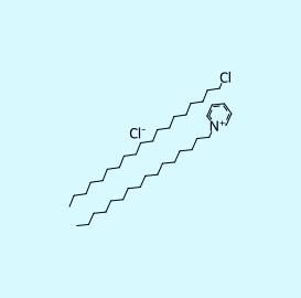 CCCCCCCCCCCCCCCCCCCCl.CCCCCCCCCCCCCCCC[n+]1ccccc1.[Cl-]